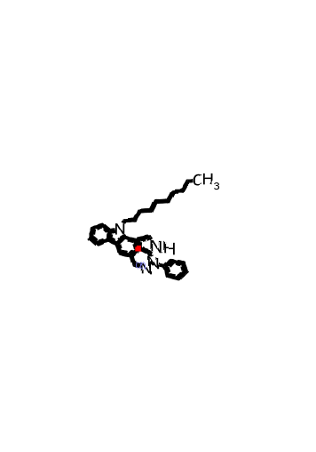 CCCCCCCCCCn1c2ccccc2c2cc(/C=N\N(c3ccccc3)c3ccc[nH]3)ccc21